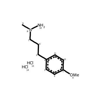 COc1ccc(CCCN(C)N)cc1.Cl.Cl